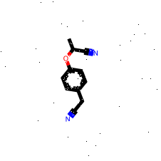 CC(C#N)Oc1ccc(CC#N)cc1